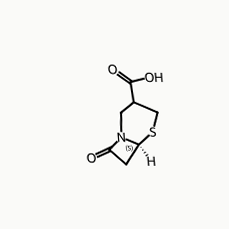 O=C(O)C1CS[C@H]2CC(=O)N2C1